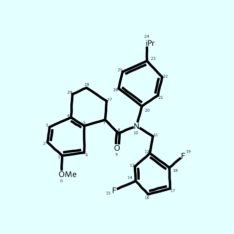 COc1ccc2c(c1)C(C(=O)N(Cc1cc(F)ccc1F)c1ccc(C(C)C)cc1)CCC2